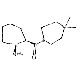 CC1(C)CCN(C(=O)[C@@H]2CCCC[C@@H]2N)CC1